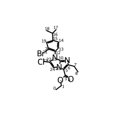 CCOC(=O)c1c(CC)nc2n(-c3ccc(C(C)C)cc3Br)c(Cl)cn12